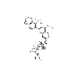 Cc1c(-c2cc3cc(OC(=O)N[C@@H]4CN(C)C(=O)C4(C)C)ncc3c(N)c2F)cnc2c1NCCO2